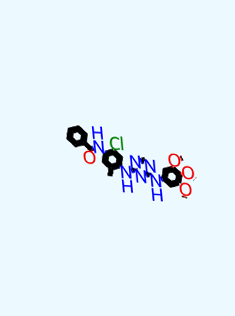 COc1cc(Nc2ncnc(Nc3cc(Cl)c(NC(=O)c4ccccc4)cc3C)n2)cc(OC)c1OC